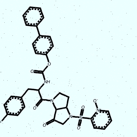 O=C(NC(Cc1ccc(F)cc1)C(=O)N1CCC2C1C(=O)CN2S(=O)(=O)c1cccc[n+]1[O-])Oc1ccc(-c2ccccc2)cc1